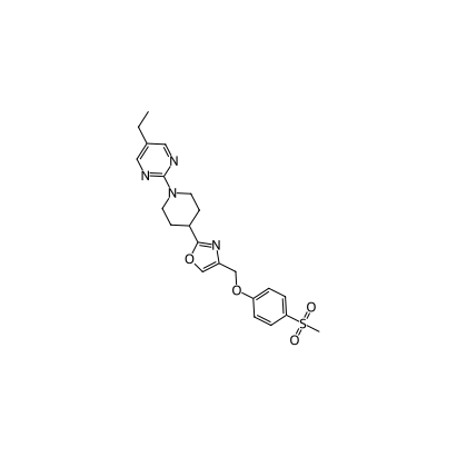 CCc1cnc(N2CCC(c3nc(COc4ccc(S(C)(=O)=O)cc4)co3)CC2)nc1